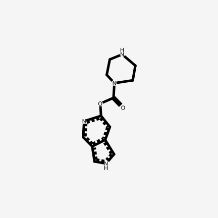 O=C(Oc1cc2c[nH]cc2cn1)N1CCNCC1